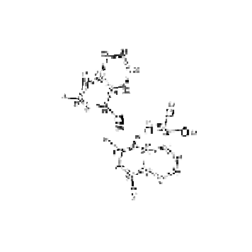 Cc1cc(Cl)c2cccc(S(=O)(=O)Cl)c2n1.Cc1cc(Cl)c2ccccc2n1